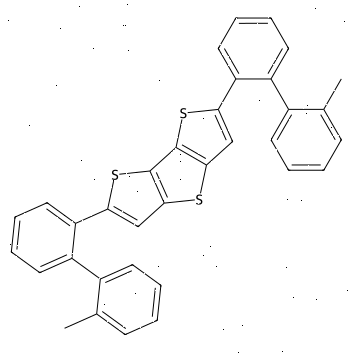 Cc1ccccc1-c1ccccc1-c1cc2sc3cc(-c4ccccc4-c4ccccc4C)sc3c2s1